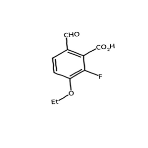 CCOc1ccc(C=O)c(C(=O)O)c1F